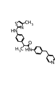 Cc1csc(Nc2ccc(C(C)C(=O)Nc3ccc(Cc4ccncc4)cc3)cc2)n1